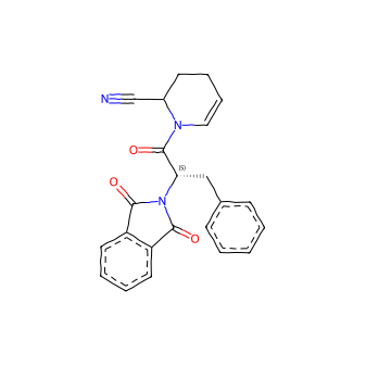 N#CC1CCC=CN1C(=O)[C@H](Cc1ccccc1)N1C(=O)c2ccccc2C1=O